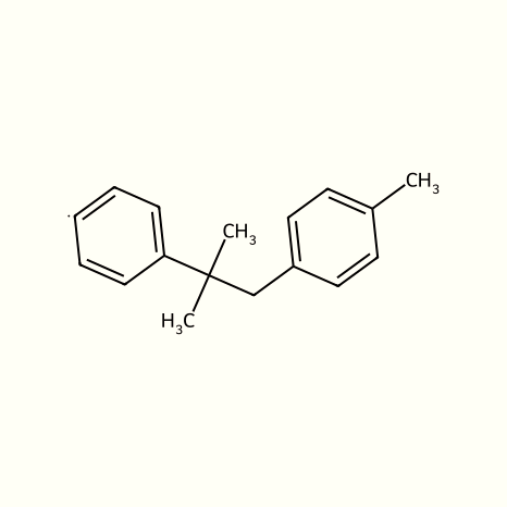 Cc1ccc(CC(C)(C)c2cc[c]cc2)cc1